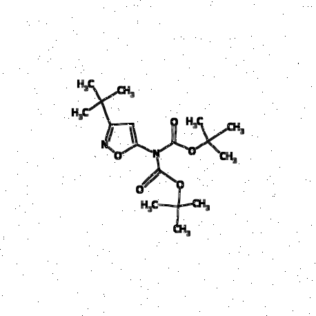 CC(C)(C)OC(=O)N(C(=O)OC(C)(C)C)c1cc(C(C)(C)C)no1